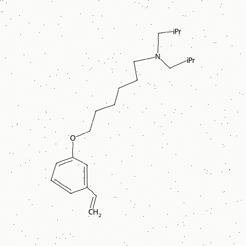 C=Cc1cccc(OCCCCCCN(CC(C)C)CC(C)C)c1